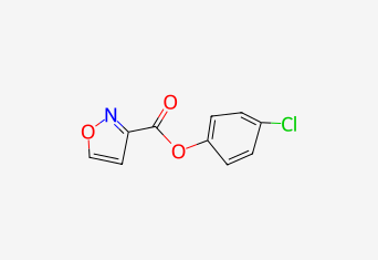 O=C(Oc1ccc(Cl)cc1)c1ccon1